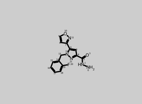 NNC(=O)c1cc(-c2ccon2)n(Cc2ccccc2F)n1